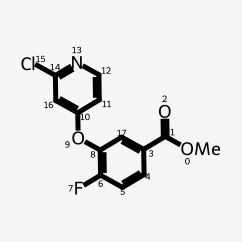 COC(=O)c1ccc(F)c(Oc2ccnc(Cl)c2)c1